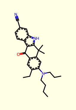 CCCCN(CCC)c1cc2c(cc1CC)C(=O)c1c([nH]c3cc(C#N)ccc13)C2(C)C